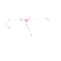 CC/C=C\C/C=C\C/C=C\CCCCCCCC(=O)OC[C@H](COC(=O)CCCCCCCCCCC/C=C\CCCCCCCC)OC(=O)CCCCCCCCC/C=C\CCCCCCCC